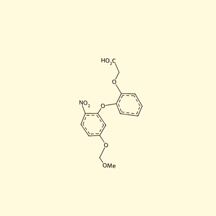 COCOc1ccc([N+](=O)[O-])c(Oc2ccccc2OCC(=O)O)c1